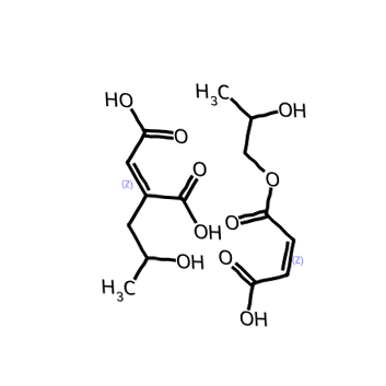 CC(O)C/C(=C/C(=O)O)C(=O)O.CC(O)COC(=O)/C=C\C(=O)O